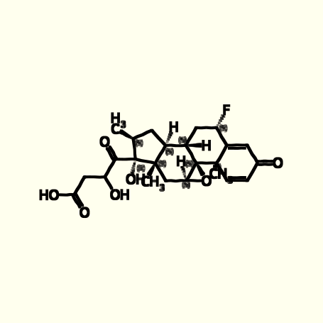 C[C@H]1C[C@H]2[C@@H]3C[C@H](F)C4=CC(=O)C=C[C@]4(C)[C@@]34O[C@H]4C[C@]2(C)[C@@]1(O)C(=O)C(O)CC(=O)O